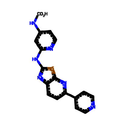 O=C(O)Nc1ccnc(Nc2nc3ccc(-c4ccncc4)nc3s2)c1